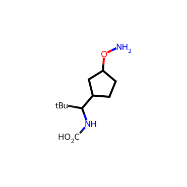 CC(C)(C)C(NC(=O)O)C1CCC(ON)C1